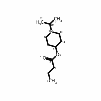 CCCC(=O)OC1CCN(C(C)C)CC1